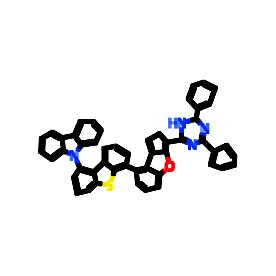 C1=c2c(oc3cccc(-c4cccc5c4sc4cccc(-n6c7ccccc7c7ccccc76)c45)c23)=C(C2=NC(c3ccccc3)=NC(c3ccccc3)N2)C1